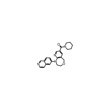 O=C(c1cnc2c(c1)COCCN2c1ccc2cnccc2c1)N1CCCCC1